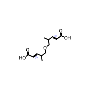 CC(/C=C/C(=O)O)COCC(C)/C=C/C(=O)O